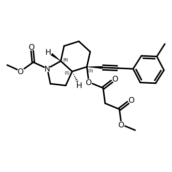 COC(=O)CC(=O)O[C@@]1(C#Cc2cccc(C)c2)CCC[C@@H]2[C@@H]1CCN2C(=O)OC